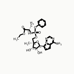 CCOC(=O)[C@H](C)NP(=O)(OC[C@@]1(C)O[C@@H](c2ccc3c(N)ncnn23)[C@H](O)[C@@H]1O)Oc1ccccc1